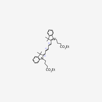 CCOC(=O)CCCN1/C(=C/C=C/C=C/C2=[N+](CCCC(=O)OCC)c3ccccc3C2(C)C)C(C)(C)c2ccccc21